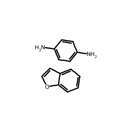 Nc1ccc(N)cc1.c1ccc2occc2c1